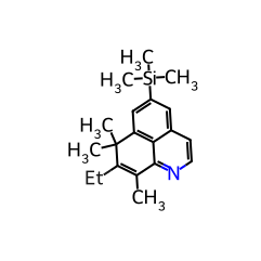 CCC1=C(C)c2nccc3cc([Si](C)(C)C)cc(c23)C1(C)C